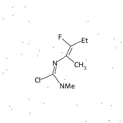 CC/C(F)=C(C)/N=C(/Cl)NC